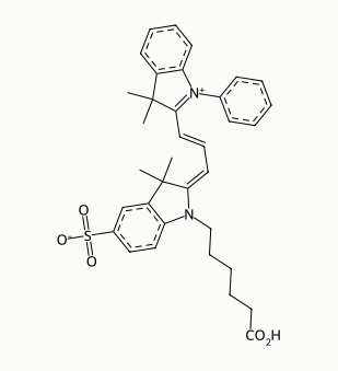 CC1(C)C(/C=C/C=C2/N(CCCCCC(=O)O)c3ccc(S(=O)(=O)[O-])cc3C2(C)C)=[N+](c2ccccc2)c2ccccc21